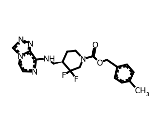 Cc1ccc(COC(=O)N2CC[C@H](CNc3nccn4cnnc34)C(F)(F)C2)cc1